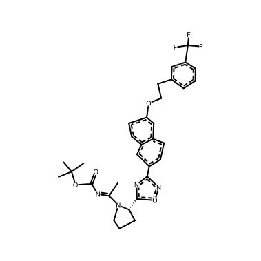 C/C(=N\C(=O)OC(C)(C)C)N1CCC[C@H]1c1nc(-c2ccc3cc(OCCc4cccc(C(F)(F)F)c4)ccc3c2)no1